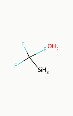 FC(F)(F)[SiH3].O